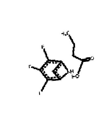 CCCC(=O)O.Fc1c2cc(c(F)c1F)N2